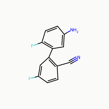 N#Cc1ccc(F)cc1-c1cc(N)ccc1F